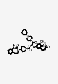 Cc1cc(C[C@@H](OC(=O)N2CCC(N3CCc4ccccc4NC3=O)CC2)C(=O)N2CCN(C3CCCCC3)CC2)cc2ccc(=O)[nH]c12